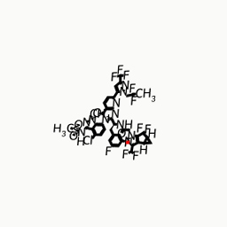 Cn1nc(NS(C)(=O)=O)c2c(Cl)ccc(-n3c([C@H](Cc4cc(F)cc(F)c4)NC(=O)Cn4nc(C(F)F)c5c4C(F)(F)[C@@H]4C[C@H]54)nc4nc(-c5cc(C(F)(F)F)nn5CC(C)(F)F)ccc4c3=O)c21